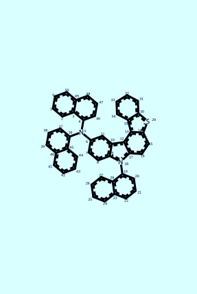 c1ccc2c(N(c3ccc4c(c3)c3c5c(ccc3n4-c3cccc4ccccc34)sc3ccccc35)c3cccc4ccccc34)cccc2c1